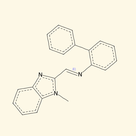 Cn1c(/C=N/c2ccccc2-c2ccccc2)nc2ccccc21